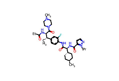 CCC(=O)N[C@@H](C(=O)N1CCN(C)CC1)[C@@H](C)c1ccc(NC(=O)[C@@H](NC(=O)c2ccnn2C(C)C)[C@H]2CC[C@H](C)CC2)c(F)c1